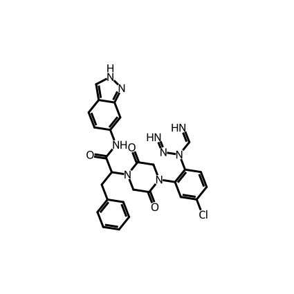 N=CN(N=N)c1ccc(Cl)cc1N1CC(=O)N(C(Cc2ccccc2)C(=O)Nc2ccc3c[nH]nc3c2)CC1=O